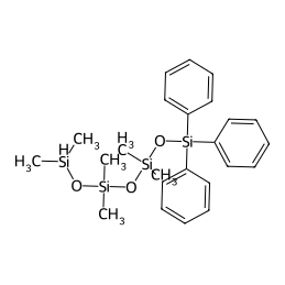 C[SiH](C)O[Si](C)(C)O[Si](C)(C)O[Si](c1ccccc1)(c1ccccc1)c1ccccc1